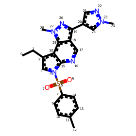 CCc1cn(S(=O)(=O)c2ccc(C)cc2)c2ncc3c(-c4cnn(C)c4)nn(C)c3c12